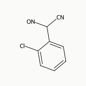 N#CC(N=O)c1ccccc1Cl